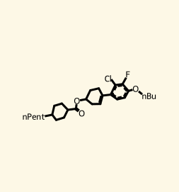 CCCCCC1CCC(C(=O)OC2CC=C(c3ccc(OCCCC)c(F)c3Cl)CC2)CC1